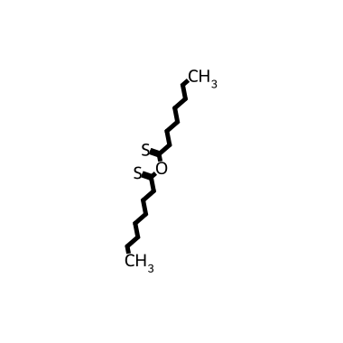 CCCCCCCC(=S)OC(=S)CCCCCCC